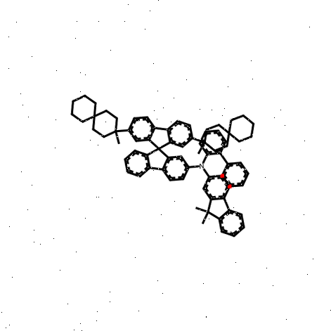 CC1(c2ccc3c(c2)C2(c4ccccc4-c4ccc(N(c5ccc6c(c5)C(C)(C)c5ccccc5-6)c5ccccc5-c5ccccc5)cc42)c2cc(C4(C)CCC5(CCCCC5)CC4)ccc2-3)CCC2(CCCCC2)CC1